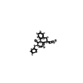 NC(Cc1ccccc1)C(=O)C1NC(C(=O)O)Cc2ccccc21